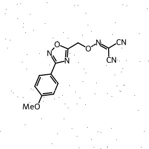 COc1ccc(-c2noc(CON=C(C#N)C#N)n2)cc1